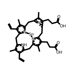 C=Cc1c2[nH]c(c1C)Cc1c(C=C)c(C)c3[n]1[Sn][n]1c(c(C)c(CCC(=O)O)c1Cc1[nH]c(c(C)c1CCC(=O)O)C3)C2